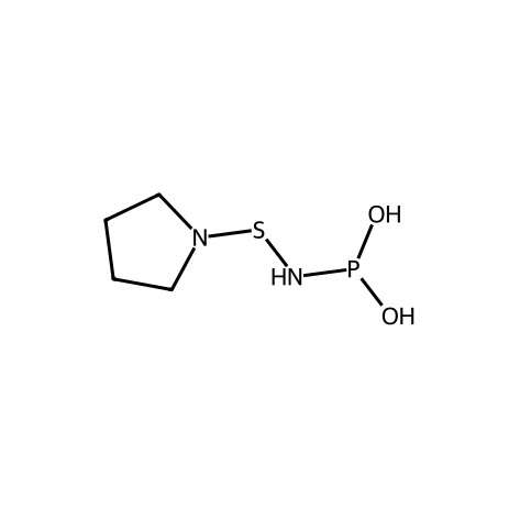 OP(O)NSN1CCCC1